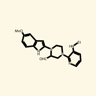 CCNc1cccnc1N1CCN(c2cc3cc(OC)ccc3[nH]2)C(C=O)C1